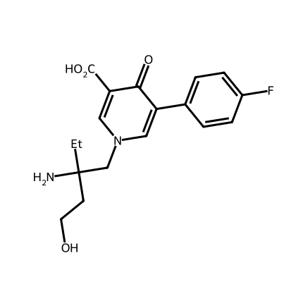 CCC(N)(CCO)Cn1cc(C(=O)O)c(=O)c(-c2ccc(F)cc2)c1